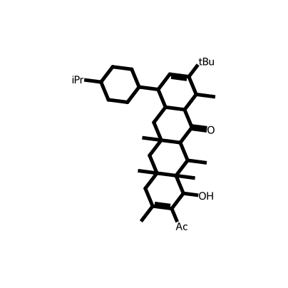 CC(=O)C1=C(C)CC2(C)CC3(C)CC4C(C5CCC(C(C)C)CC5)C=C(C(C)(C)C)C(C)C4C(=O)C3C(C)C2(C)C1O